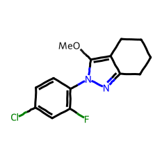 COc1c2c(nn1-c1ccc(Cl)cc1F)CCCC2